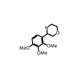 COc1ccc(C2COCC[N]2)c(OC)c1OC